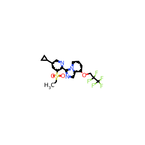 CCS(=O)(=O)c1cc(C2CC2)cnc1-c1ncc2c(OCC(F)(F)C(F)(F)F)cccn12